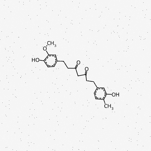 COc1cc(CCC(=O)CC(=O)CCc2ccc(C)c(O)c2)ccc1O